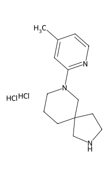 Cc1ccnc(N2CCCC3(CCNC3)C2)c1.Cl.Cl